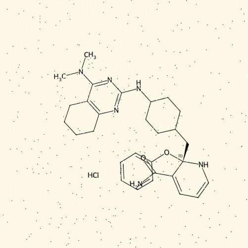 CN(C)c1nc(NC2CCC(C[C@@]3(Oc4ccccc4)NC=CC=C3C(N)=O)CC2)nc2c1CCCC2.Cl